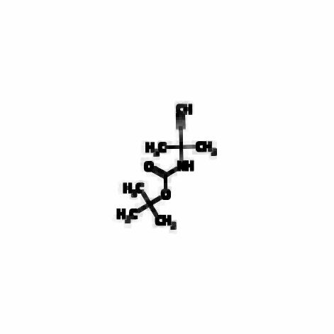 C#CC(C)(C)NC(=O)OC(C)(C)C